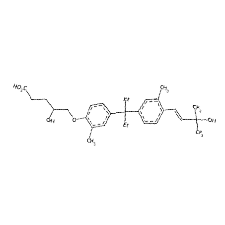 CCC(CC)(c1ccc(C=CC(O)(C(F)(F)F)C(F)(F)F)c(C)c1)c1ccc(OCC(O)CCC(=O)O)c(C)c1